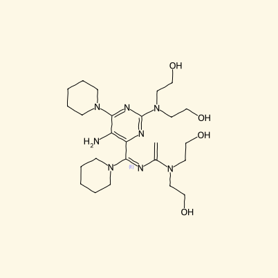 C=C(/N=C(\c1nc(N(CCO)CCO)nc(N2CCCCC2)c1N)N1CCCCC1)N(CCO)CCO